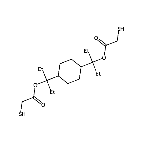 CCC(CC)(OC(=O)CS)C1CCC(C(CC)(CC)OC(=O)CS)CC1